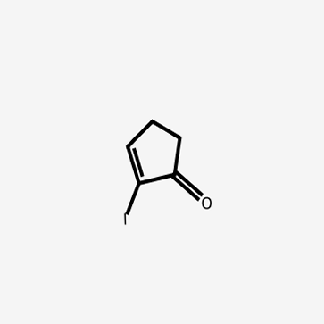 O=C1CCC=C1I